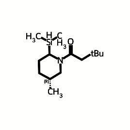 C[C@@H]1CCC([SiH](C)C)N(C(=O)CC(C)(C)C)C1